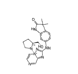 CC1(C)C(=O)Nc2cc(NC3=N[N+]4(N5CCC[C@H]5CO)C=CN=CC4=N3)ccc21